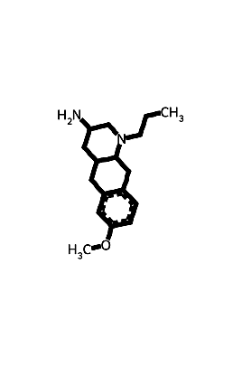 CCCN1CC(N)CC2Cc3cc(OC)ccc3CC21